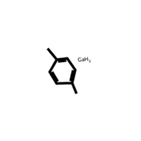 Cc1ccc(C)cc1.[GaH3]